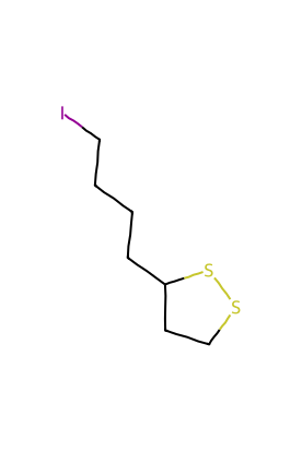 ICCCCC1CCSS1